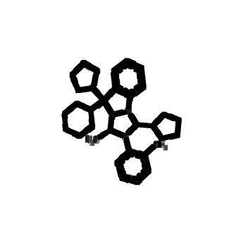 Cc1ccccc1N1C(C2CCCC2)N2c3ccccc3C(C3CCCCC3)(C3CCCC3)C2[C@@H]1C